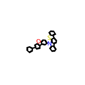 c1ccc(-c2ccc3c(c2)oc2ccc(-n4c5ccccc5c5ccc6c7ccccc7sc6c54)cc23)cc1